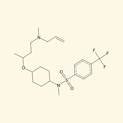 C=CCN(C)CCC(C)OC1CCC(N(C)S(=O)(=O)c2ccc(C(F)(F)F)cc2)CC1